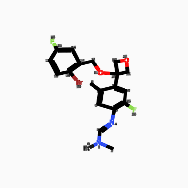 CCN(C)C=Nc1cc(C)c(C2(OCc3cc(F)ccc3Br)COC2)cc1F